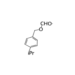 CC(C)c1ccc(CO[C]=O)cc1